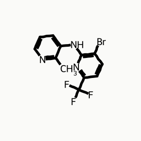 Cc1ncccc1Nc1nc(C(F)(F)F)ccc1Br